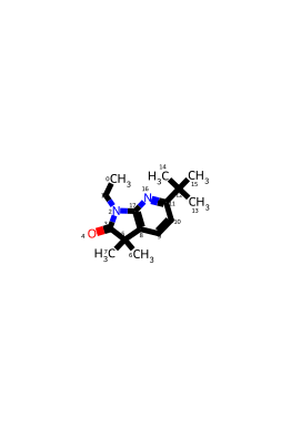 CCN1C(=O)C(C)(C)c2ccc(C(C)(C)C)nc21